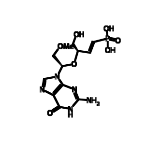 COC[C@@H](O[C@H](/C=C/P(=O)(O)O)CO)n1cnc2c(=O)[nH]c(N)nc21